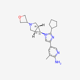 Cc1cc(-c2cn([C@H]3[C@@H]4CN(C5COC5)C[C@@H]43)c(C3CCCC3)n2)cnc1N